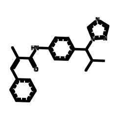 CC(=Cc1ccccc1)C(=O)Nc1ccc(C(C(C)C)n2cncn2)cc1